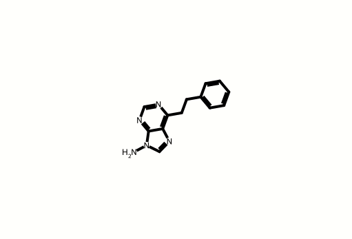 Nn1cnc2c(CCc3ccccc3)ncnc21